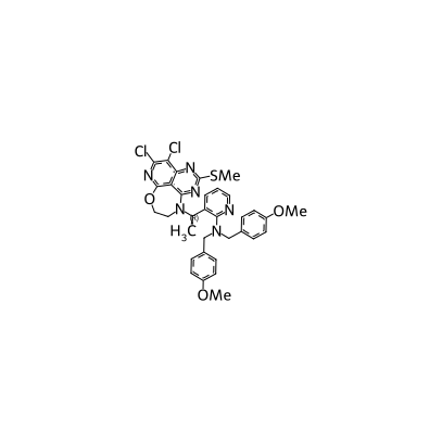 COc1ccc(CN(Cc2ccc(OC)cc2)c2ncccc2[C@@H](C)N2CCOc3nc(Cl)c(Cl)c4nc(SC)nc2c34)cc1